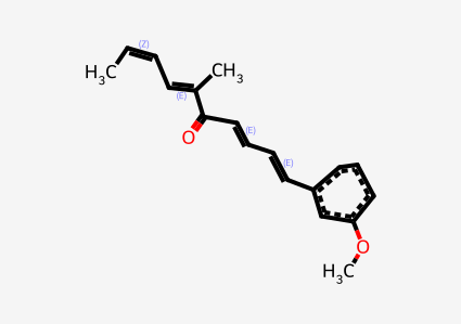 C/C=C\C=C(/C)C(=O)/C=C/C=C/c1cccc(OC)c1